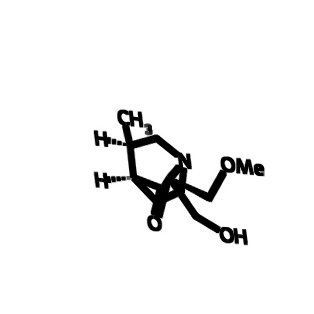 COC[C@@]1(CO)C(=O)[C@H]2CCN1C[C@@H]2C